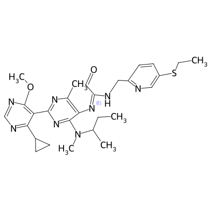 CCSc1ccc(CN/C(C=O)=N/c2c(C)nc(-c3c(OC)ncnc3C3CC3)nc2N(C)C(C)CC)nc1